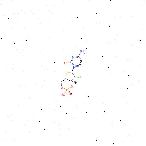 Nc1ccn([C@@H]2SC3COP(=O)(O)O[C@H]3[C@@H]2F)c(=O)n1